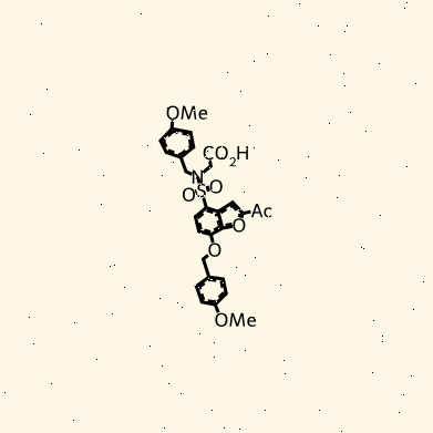 COc1ccc(COc2ccc(S(=O)(=O)N(CC(=O)O)Cc3ccc(OC)cc3)c3cc(C(C)=O)oc23)cc1